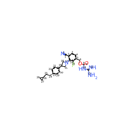 N#Cc1ccc(COC(=O)NC(=N)N)c(F)c1N1CC(c2ccc(CCC3CC3)cc2)C1